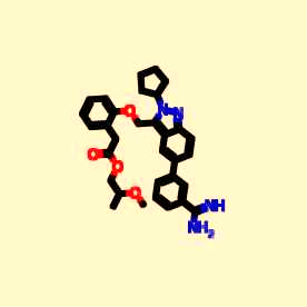 COC(C)COC(=O)Cc1ccccc1OCc1c2cc(-c3cccc(C(=N)N)c3)ccc2nn1C1CCCC1